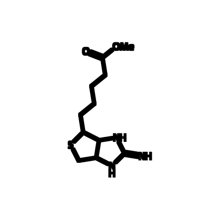 COC(=O)CCCCC1SCC2NC(=N)NC21